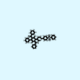 Cc1nc(-c2ccccc2)c2c(C)c3c(c(-c4ccccc4)nc4ccccc43)c(C)c2c1/C=C\Cc1ccc(S(=O)(=O)c2ccccc2)cc1